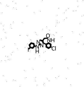 O=C1Cc2cnc(Nc3cccc(I)c3)nc2-c2ccc(Cl)cc2N1